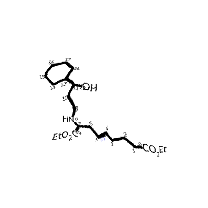 CCOC(=O)CCC/C=C/CC(NCCC(O)C1CCCCC1)C(=O)OCC